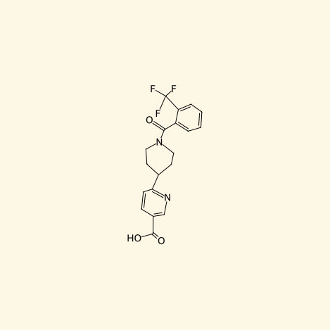 O=C(O)c1ccc(C2CCN(C(=O)c3ccccc3C(F)(F)F)CC2)nc1